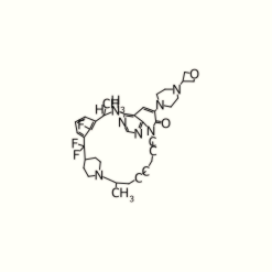 CC1CCCCCCn2c(=O)c(N3CCN(C4COC4)CC3)cc3c(ncnc32)N[C@H](C)c2cccc(c2F)C(F)(F)C2CCN1CC2